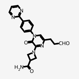 NC(=O)C1CN(c2nc(CCC=O)cn(-c3ccc(-c4ncccn4)cc3)c2=O)C1